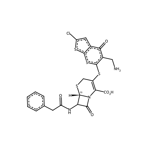 NCc1c(SC2=C(C(=O)O)N3C(=O)C(NC(=O)Cc4ccccc4)[C@@H]3SC2)sc2sc(Cl)cc2c1=O